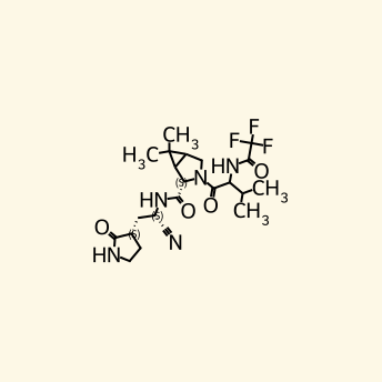 CC(C)C(NC(=O)C(F)(F)F)C(=O)N1CC2C([C@H]1C(=O)N[C@H](C#N)C[C@@H]1CCNC1=O)C2(C)C